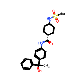 CC(O)(c1ccccc1)c1ccc(NC(=O)[C@H]2CC[C@H](NS(=O)(=O)C(C)(C)C)CC2)cc1